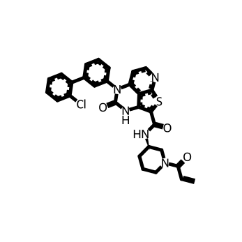 C=CC(=O)N1CCC[C@@H](NC(=O)c2sc3nccc4c3c2NC(=O)N4c2cccc(-c3ccccc3Cl)c2)C1